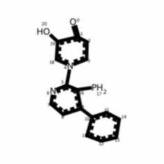 O=c1ccn(-c2nccc(-c3ccccc3)c2P)cc1O